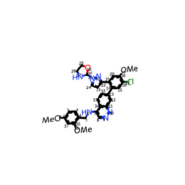 COc1ccc(CNc2cnnc3cc(-c4cc(Cl)c(OC)cc4-c4ccn(C5NCCO5)n4)ccc23)c(OC)c1